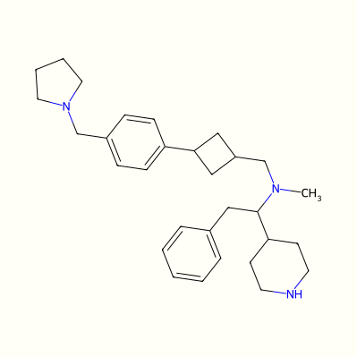 CN(CC1CC(c2ccc(CN3CCCC3)cc2)C1)C(Cc1ccccc1)C1CCNCC1